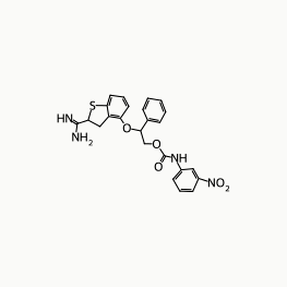 N=C(N)C1Cc2c(OC(COC(=O)Nc3cccc([N+](=O)[O-])c3)c3ccccc3)cccc2S1